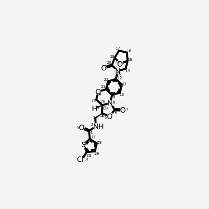 O=C(NC[C@@H]1OC(=O)N2c3ccc(N4CC5CCC(O5)C4=O)cc3OC[C@@H]12)c1ccc(Cl)s1